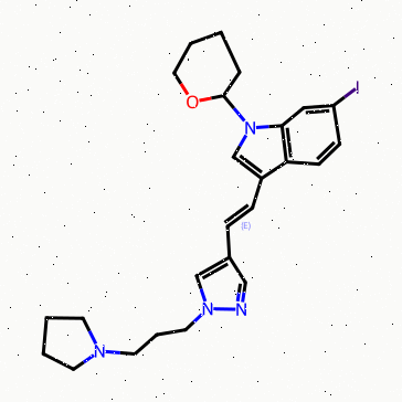 Ic1ccc2c(/C=C/c3cnn(CCCN4CCCC4)c3)cn(C3CCCCO3)c2c1